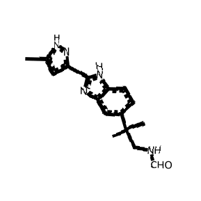 Cc1cc(-c2nc3cc(C(C)(C)CNC=O)ccc3[nH]2)n[nH]1